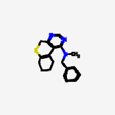 CN(Cc1ccccc1)c1ncnc2c1C1=C(CCCC1)SC2